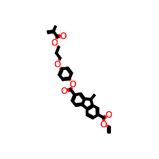 C=COC(=O)c1ccc2c(c1)C(C)c1cc(C(=O)Oc3ccc(OCCCOC(=O)C(=C)C)cc3)ccc1-2